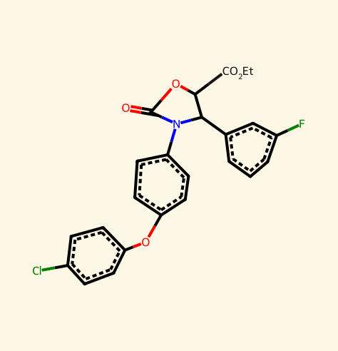 CCOC(=O)C1OC(=O)N(c2ccc(Oc3ccc(Cl)cc3)cc2)C1c1cccc(F)c1